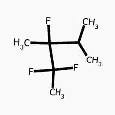 CC(C)C(C)(F)C(C)(F)F